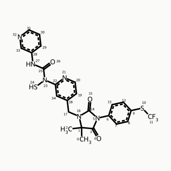 CC1(C)C(=O)N(c2ccc(SC(F)(F)F)cc2)C(=O)N1Cc1ccnc(N(S)C(=O)Nc2cccnc2)c1